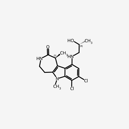 C[C@@H]1C(=O)NCCc2c1c1c(NC[C@@H](C)O)cc(Cl)c(Cl)c1n2C